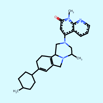 CC1CCC(C2=CC3=C(CC2)C2CN(c4cc(=O)n(C)c5ncccc45)CC(C)N2C3)CC1